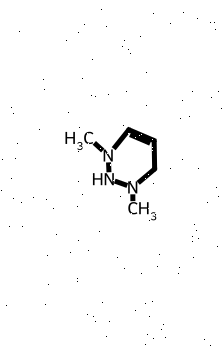 CN1C=CCN(C)N1